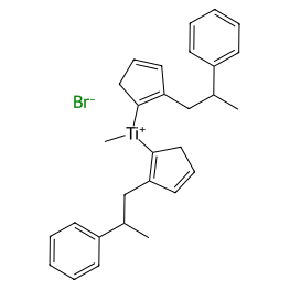 CC(CC1=[C]([Ti+]([CH3])[C]2=C(CC(C)c3ccccc3)C=CC2)CC=C1)c1ccccc1.[Br-]